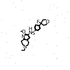 CCN1CCc2cc(NSc3ccc(C4(F)CCOCC4)cc3)c(OC)nc2CC1